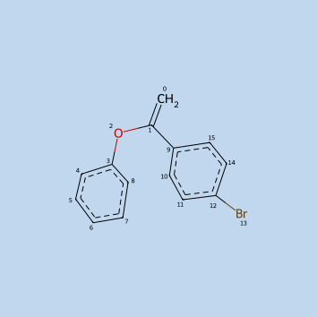 C=C(Oc1ccccc1)c1ccc(Br)cc1